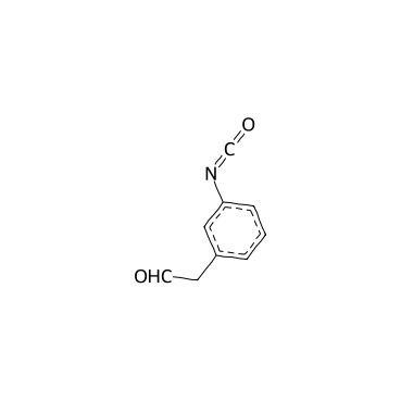 O=C=Nc1cccc(CC=O)c1